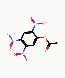 CC(=O)Oc1cc([N+](=O)[O-])c([N+](=O)[O-])cc1[N+](=O)[O-]